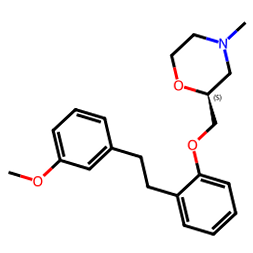 COc1cccc(CCc2ccccc2OC[C@@H]2CN(C)CCO2)c1